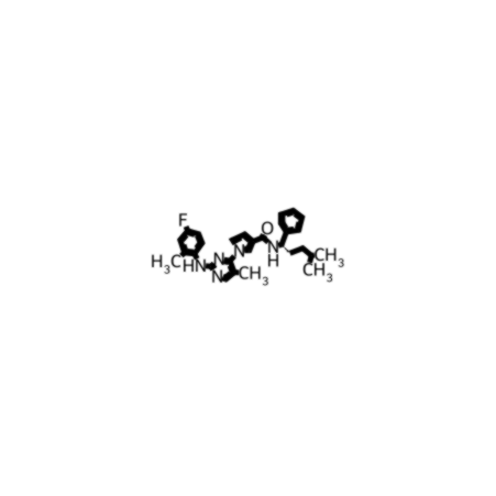 Cc1cc(F)ccc1Nc1ncc(C)c(-n2ccc(C(=O)N[C@@H](CCC(C)C)c3ccccc3)c2)n1